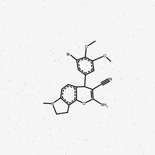 COc1cc(C2C(C#N)=C(N)Oc3c2ccc2c3CCN2C)cc(Br)c1OC